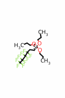 CCCO[Si](CCC(F)(F)C(F)(F)C(F)(F)C(F)(F)F)(OCCC)OCCC